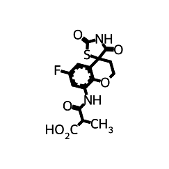 CC(C(=O)O)C(=O)Nc1cc(F)cc2c1OCCC21SC(=O)NC1=O